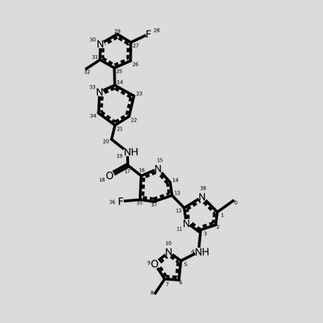 Cc1cc(Nc2cc(C)on2)nc(-c2cnc(C(=O)NCc3ccc(-c4cc(F)cnc4C)nc3)c(F)c2)n1